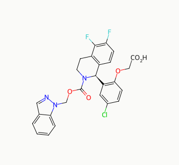 O=C(O)COc1ccc(Cl)cc1[C@@H]1c2ccc(F)c(F)c2CCN1C(=O)OCn1ncc2ccccc21